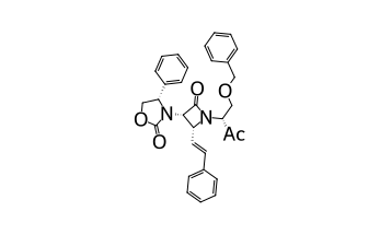 CC(=O)[C@@H](COCc1ccccc1)N1C(=O)[C@@H](N2C(=O)OC[C@@H]2c2ccccc2)[C@H]1/C=C/c1ccccc1